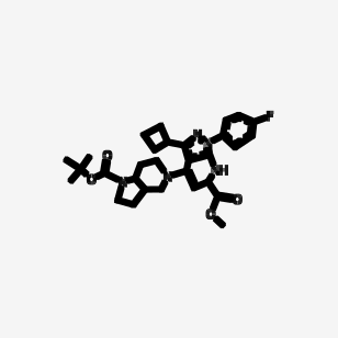 COC(=O)C1C=C(N2CCC3C(CCN3C(=O)OC(C)(C)C)C2)c2c(C3CCC3)nn(-c3ccc(F)cc3)c2N1